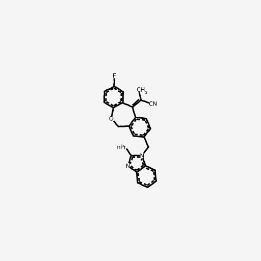 CCCc1nc2ccccc2n1Cc1ccc2c(c1)COc1ccc(F)cc1C2=C(C)C#N